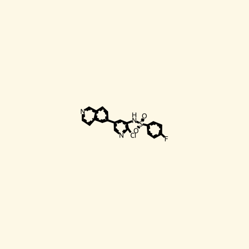 O=S(=O)(Nc1cc(-c2ccc3cnccc3c2)cnc1Cl)c1ccc(F)cc1